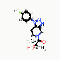 C[C@@](O)(C(=O)N1CCc2c(nnn2-c2ccc(F)cc2)C1)C(F)(F)F